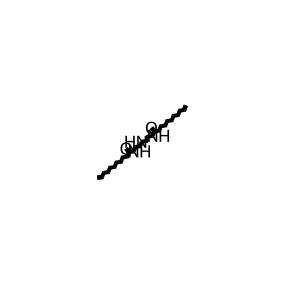 C=CCCCCCCCCC(=O)NCCNCCNC(=O)CCCCCCCCC=C